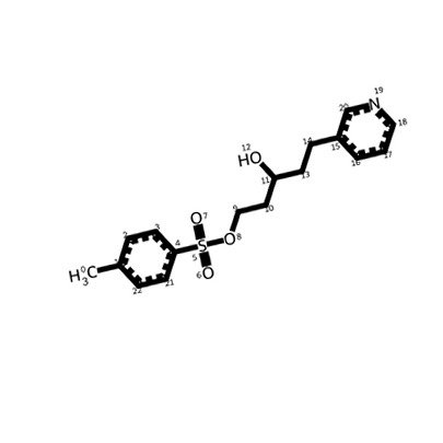 Cc1ccc(S(=O)(=O)OCCC(O)CCc2cccnc2)cc1